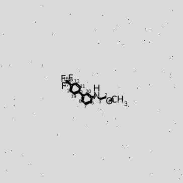 COCCNc1cccc(-c2ccc(C(F)(F)F)cc2)c1